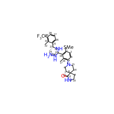 CSc1ccc(N2CCC3(CCNC3=O)CC2)c(C)c1C(NN)N[C@H](C)c1cccc(C(F)(F)F)c1C